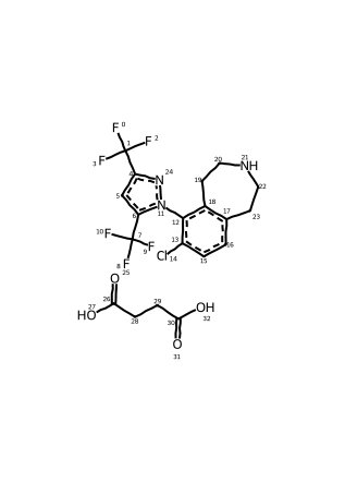 FC(F)(F)c1cc(C(F)(F)F)n(-c2c(Cl)ccc3c2CCNCC3)n1.O=C(O)CCC(=O)O